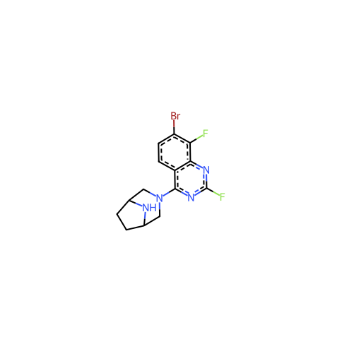 Fc1nc(N2CC3CCC(C2)N3)c2ccc(Br)c(F)c2n1